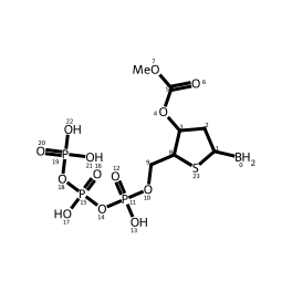 BC1CC(OC(=O)OC)C(COP(=O)(O)OP(=O)(O)OP(=O)(O)O)S1